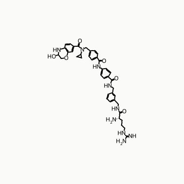 N=C(N)NCCC[C@H](N)C(=O)NCc1cccc(CNC(=O)c2ccc(NC(=O)c3ccc(CN(C(=O)c4ccc5c(c4)OCC(O)N5)C4CC4)cc3)cc2)c1